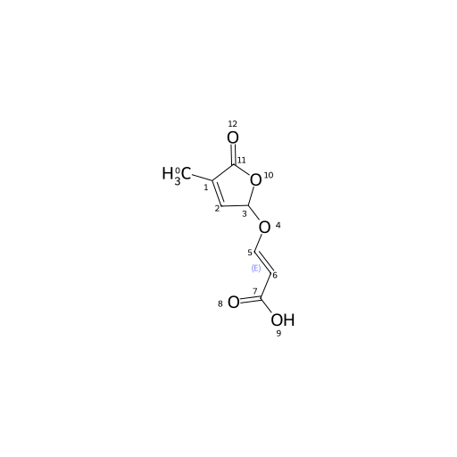 CC1=CC(O/C=C/C(=O)O)OC1=O